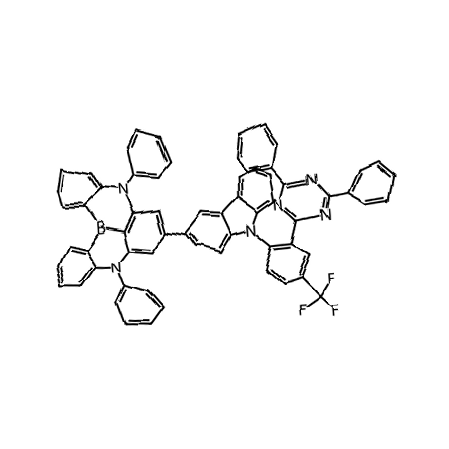 FC(F)(F)c1ccc(-n2c3ccccc3c3cc(-c4cc5c6c(c4)N(c4ccccc4)c4ccccc4B6c4ccccc4N5c4ccccc4)ccc32)c(-c2nc(-c3ccccc3)nc(-c3ccccc3)n2)c1